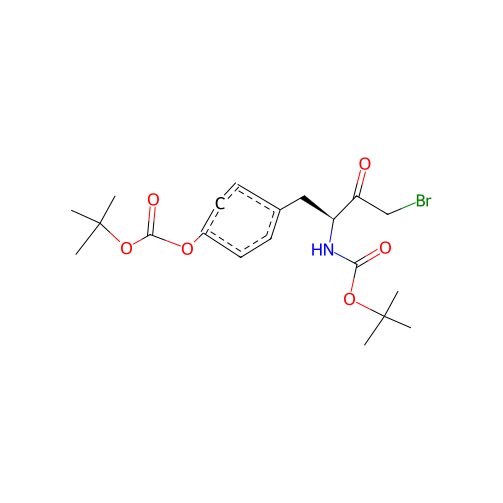 CC(C)(C)OC(=O)N[C@@H](Cc1ccc(OC(=O)OC(C)(C)C)cc1)C(=O)CBr